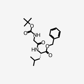 CC(C)C[C@H](NC(=O)CNC(=O)OC(C)(C)C)C(=O)OCc1ccccc1